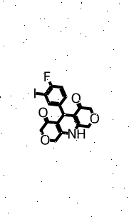 O=C1COCC2=C1C(c1ccc(F)c(I)c1)C1=C(COCC1=O)N2